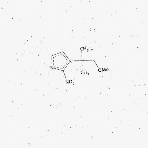 COCC(C)(C)n1ccnc1[N+](=O)[O-]